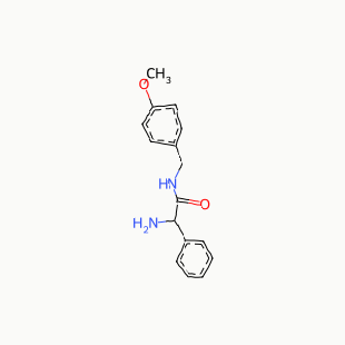 COc1ccc(CNC(=O)C(N)c2ccccc2)cc1